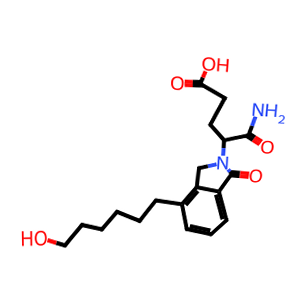 NC(=O)C(CCC(=O)O)N1Cc2c(CCCCCCO)cccc2C1=O